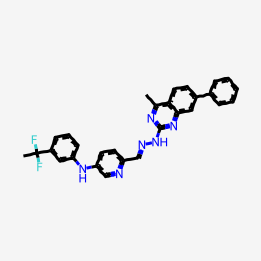 Cc1nc(N/N=C/c2ccc(Nc3cccc(C(C)(F)F)c3)cn2)nc2cc(-c3ccccc3)ccc12